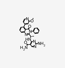 COc1cc(-c2cccc3nc([C@@H](C)Nc4nc(N)ncc4C(N)=O)n(-c4ccccc4)c(=O)c23)ccn1